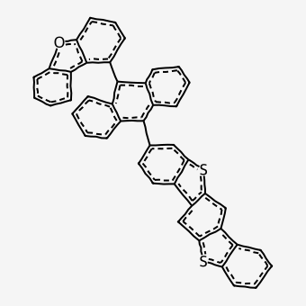 c1ccc2c(c1)oc1cccc(-c3c4ccccc4c(-c4ccc5c(c4)sc4cc6c(cc45)sc4ccccc46)c4ccccc34)c12